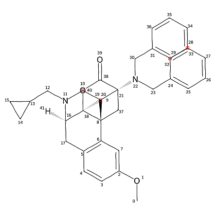 COc1ccc2c(c1)[C@]13CCN(CC4CC4)[C@H](C2)[C@]12CC[C@](N(Cc1ccccc1)Cc1ccccc1)(C3)C(=O)O2